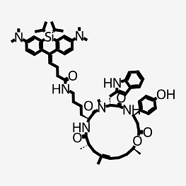 CC1=CCC[C@H](C)OC(=O)C[C@H](c2ccc(O)cc2)NC(=O)[C@@H](Cc2cc3ccccc3[nH]2)N(C)C(=O)[C@H](CCCCNC(=O)CCC=C2c3ccc(N(C)C)cc3[Si](C(C)C)(C(C)C)c3cc(N(C)C)ccc32)NC(=O)[C@@H](C)C1